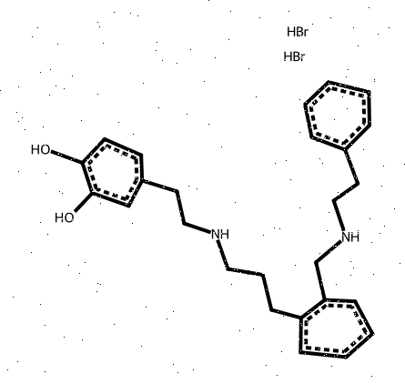 Br.Br.Oc1ccc(CCNCCCc2ccccc2CNCCc2ccccc2)cc1O